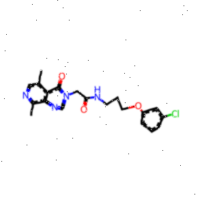 Cc1ncc(C)c2c(=O)n(CC(=O)NCCCOc3cccc(Cl)c3)cnc12